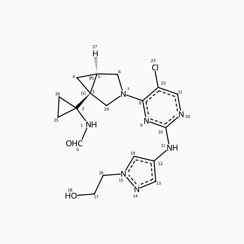 O=CNC1([C@@]23C[C@H]2CN(c2nc(Nc4cnn(CCO)c4)ncc2Cl)C3)CC1